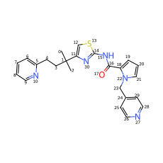 CC(C)(CCc1ccccn1)c1csc(NC(=O)c2cccn2Cc2ccncc2)n1